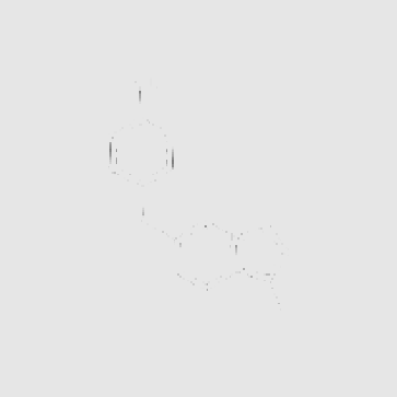 Cc1ccc(Sc2ccc3c(I)cnn3c2)nn1